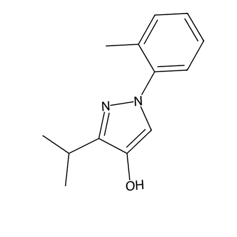 Cc1ccccc1-n1cc(O)c(C(C)C)n1